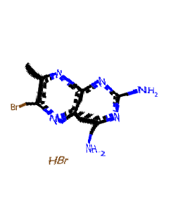 Br.Cc1nc2nc(N)nc(N)c2nc1Br